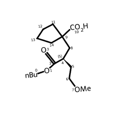 CCCCOC(=O)[C@H](CCOC)CC1(C(=O)O)CCCC1